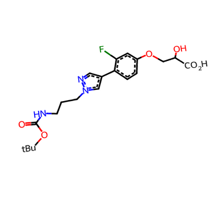 CC(C)(C)OC(=O)NCCCn1cc(-c2ccc(OCC(O)C(=O)O)cc2F)cn1